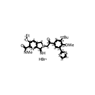 Br.CCOc1cc2c(nc1C(=O)NC)C(=N)N(CC(=O)c1cc(-c3nccs3)c(OC)c(C(C)(C)C)c1)C2